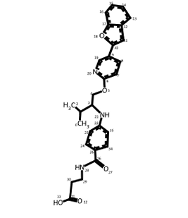 CC(C)C(COc1ccc(-c2cc3ccccc3o2)cn1)Nc1ccc(C(=O)NCCC(=O)O)cc1